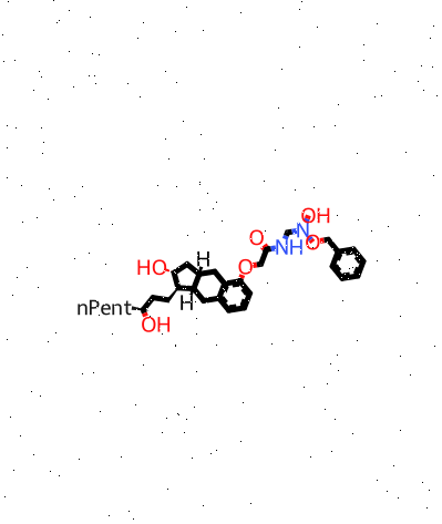 CCCCC[C@H](O)CC[C@@H]1[C@H]2Cc3cccc(OCC(=O)NCN(O)OCc4ccccc4)c3C[C@H]2C[C@H]1O